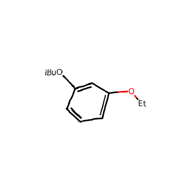 CCOc1c[c]cc(OCC(C)C)c1